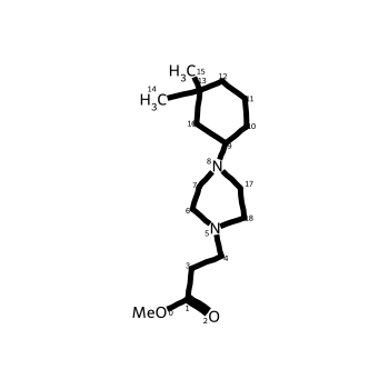 COC(=O)CCN1CCN(C2CCCC(C)(C)C2)CC1